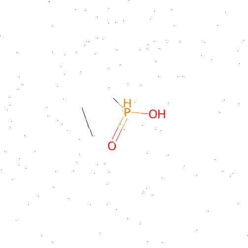 CC.C[PH](=O)O